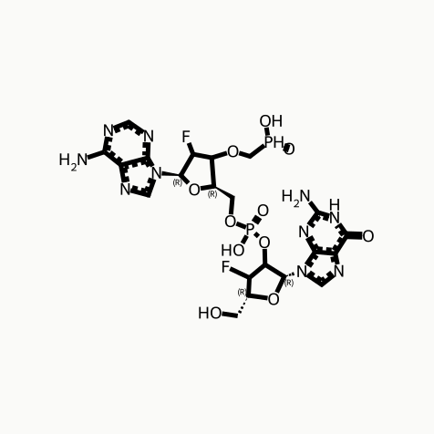 Nc1nc2c(ncn2[C@@H]2O[C@H](CO)C(F)C2OP(=O)(O)OC[C@H]2O[C@@H](n3cnc4c(N)ncnc43)C(F)C2OC[PH](=O)O)c(=O)[nH]1